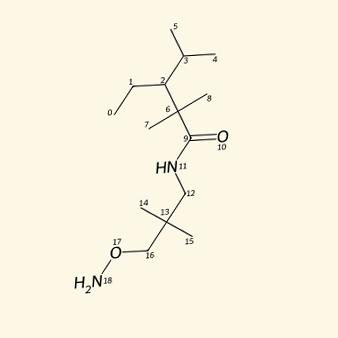 CCC(C(C)C)C(C)(C)C(=O)NCC(C)(C)CON